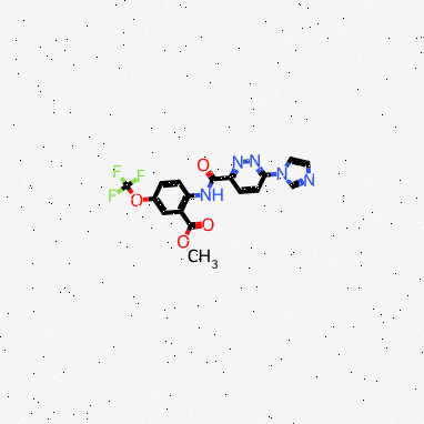 COC(=O)c1cc(OC(F)(F)F)ccc1NC(=O)c1ccc(-n2ccnc2)nn1